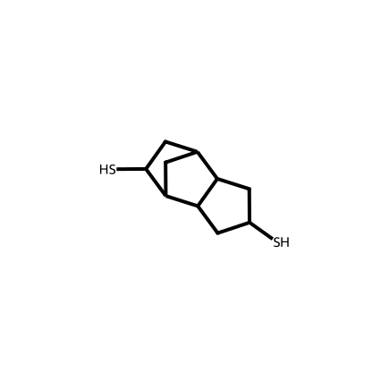 SC1CC2C3CC(S)C(C3)C2C1